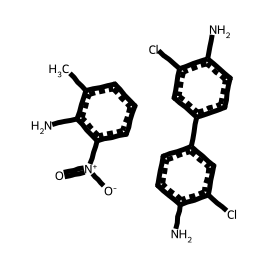 Cc1cccc([N+](=O)[O-])c1N.Nc1ccc(-c2ccc(N)c(Cl)c2)cc1Cl